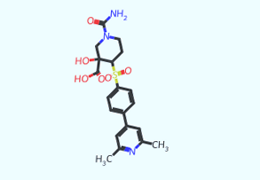 Cc1cc(-c2ccc(S(=O)(=O)C3CCN(C(N)=O)CC3(O)C(=O)O)cc2)cc(C)n1